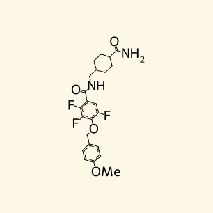 COc1ccc(COc2c(F)cc(C(=O)NCC3CCC(C(N)=O)CC3)c(F)c2F)cc1